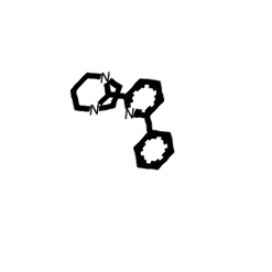 c1ccc(-c2cccc(C3N4CCCN3CC4)n2)cc1